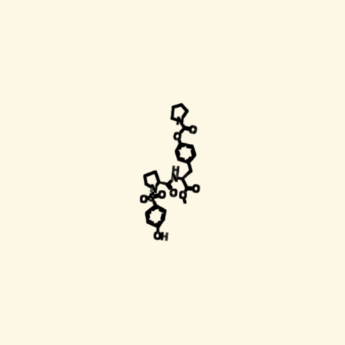 COC(=O)[C@H](Cc1ccc(OC(=O)N2CCCC2)cc1)NC(=O)[C@@H]1CCCN1S(=O)(=O)c1ccc(O)cc1